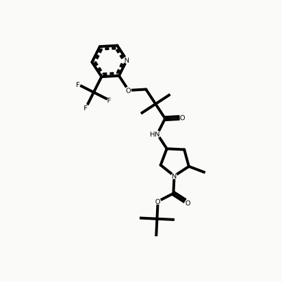 CC1CC(NC(=O)C(C)(C)COc2ncccc2C(F)(F)F)CN1C(=O)OC(C)(C)C